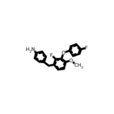 COc1ccc(Cc2ccc(N)cc2)c(F)c1Oc1ccc(F)cc1